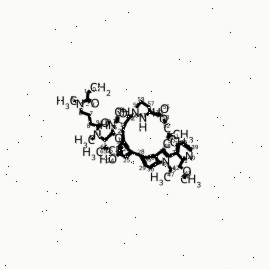 C=CC(=O)N(C)CCCC(=O)N(C)[C@H](C(=O)NC(=C)[C@H]1Cc2cc(O)cc(c2)-c2ccc3c(c2)c(c(-c2cccnc2COC)n3CC)CC(C)(C)COC(=O)[C@@H]2CCCN(N2)C1=O)C(C)C